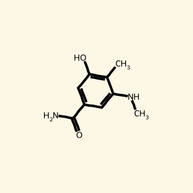 CNc1cc(C(N)=O)cc(O)c1C